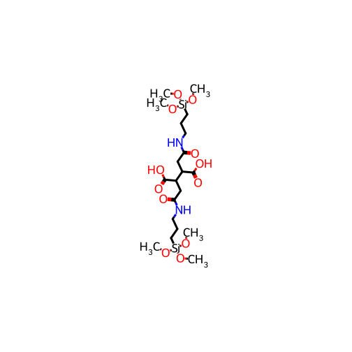 CO[Si](CCCNC(=O)CC(C(=O)O)C(CC(=O)NCCC[Si](OC)(OC)OC)C(=O)O)(OC)OC